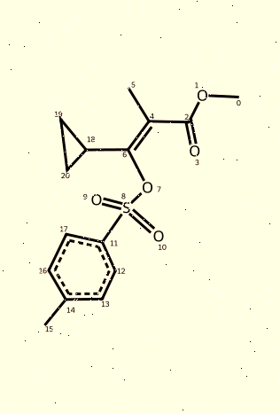 COC(=O)C(C)=C(OS(=O)(=O)c1ccc(C)cc1)C1CC1